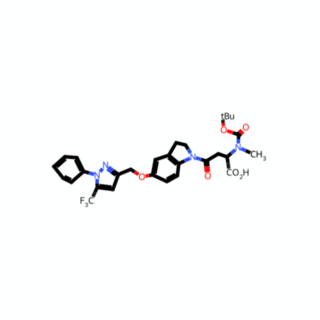 CN(C(=O)OC(C)(C)C)C(CC(=O)N1CCc2cc(OCc3cc(C(F)(F)F)n(-c4ccccc4)n3)ccc21)C(=O)O